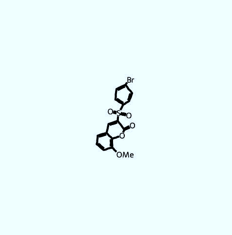 COc1cccc2cc(S(=O)(=O)c3ccc(Br)cc3)c(=O)oc12